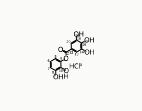 Cl.O=C(Oc1cccc(O)c1O)c1cc(O)c(O)c(O)c1